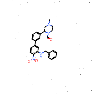 CN1CCN(C=O)C(c2cccc(-c3ccc([N+](=O)[O-])c(NCc4ccccc4)c3)c2)C1